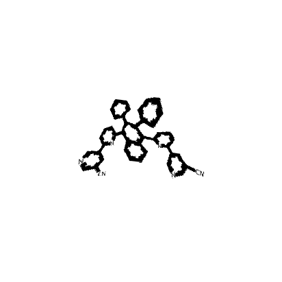 N#Cc1cncc(-c2cccc(-c3c(-c4ccccc4)c(-c4ccccc4)c(-c4cccc(-c5cncc(C#N)c5)n4)c4ccccc34)n2)c1